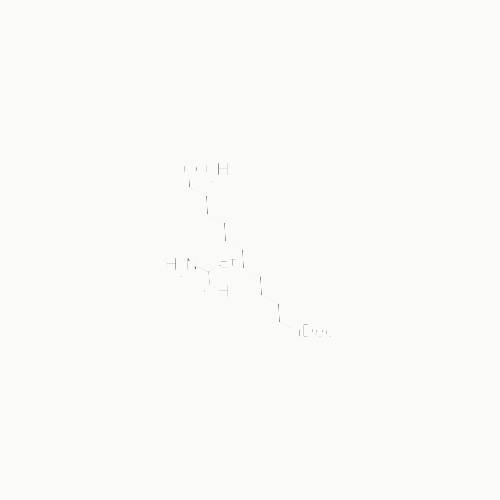 CCC(N)O.CCCCCCCCCCCCCCCCCCCCCC(=O)O